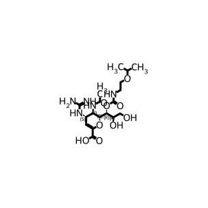 CC(=O)N[C@H]1[C@H]([C@H](OC(=O)NCCOC(C)C)[C@H](O)CO)OC(C(=O)O)=C[C@@H]1NC(=N)N